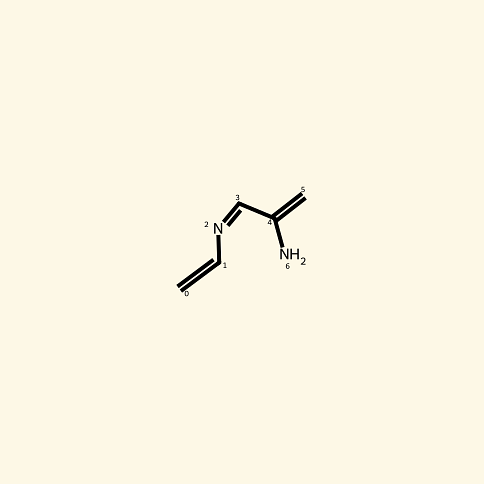 C=C/N=C\C(=C)N